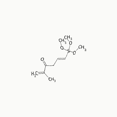 C=C(C)C(=O)CC=C[Si](OC)(OC)OC